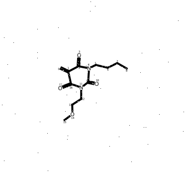 C=C1C(=O)N(CCCC)C(=O)N(CCOC)C1=O